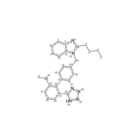 CCCCc1nc2ccccc2n1Cc1ccc(-c2c(OC)cccc2-c2nnn[nH]2)cc1